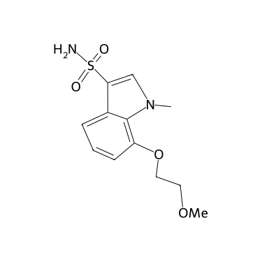 COCCOc1cccc2c(S(N)(=O)=O)cn(C)c12